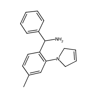 Cc1ccc(C(N)c2ccccc2)c(N2CC=CC2)c1